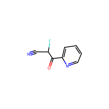 N#CC(F)C(=O)c1ccccn1